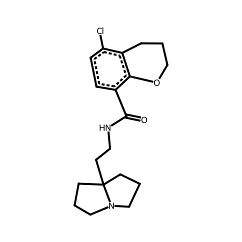 O=C(NCCC12CCCN1CCC2)c1ccc(Cl)c2c1OCCC2